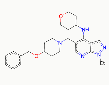 CCn1ncc2c(NC3CCOCC3)c(CN3CCC(OCc4ccccc4)CC3)cnc21